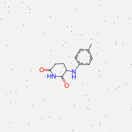 Cc1ccc(NC2CCC(=O)NC2=O)cc1